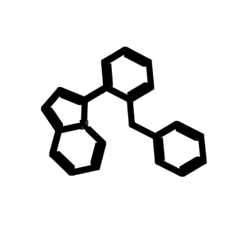 c1ccc(Cc2ccccc2-c2ccc3ccccn23)cc1